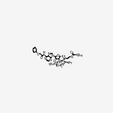 CC[C@H]1O[C@@H](n2cnc3c(NC(=O)COc4ccccc4)ncnc32)[C@@H](O[Si](C)(C)C(C)(C)C)C1OP(OCCSC(=O)C(C)(C)C)N(C(C)C)C(C)C